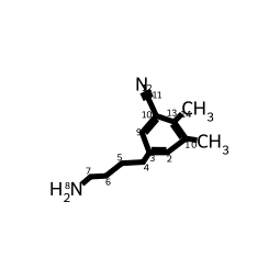 Cc1cc(CCCCN)cc(C#N)c1C